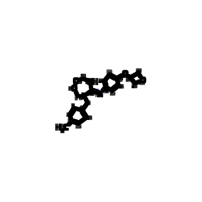 Cc1ccc(CN2COOCN/C2=N\c2ccc(OC3COC3)cc2)cc1